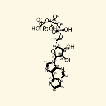 O=P(O)(O)OP(=O)(O)OP(=O)(O)OC[C@H]1OC(n2cnc3c2ncn2ccnc32)[C@H](O)[C@@H]1O